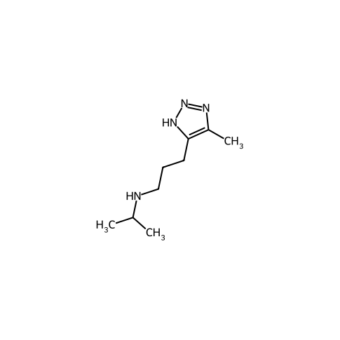 Cc1nn[nH]c1CCCNC(C)C